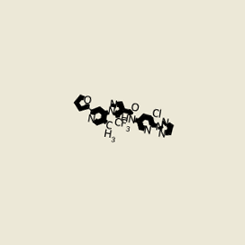 Cc1cnc([C@@H]2CCCO2)cc1-n1ncc(C(=O)Nc2cnc(-n3nccn3)c(Cl)c2)c1C(F)(F)F